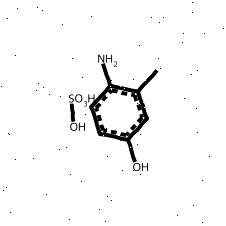 Cc1cc(O)ccc1N.O=S(=O)(O)O